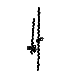 CCCCCCCCCCCCCCCC(=O)NC(CC)[N+](C)(C)C.CCCCCCCCCCCCCCCCCCOCCCCCCCCCCCCCCCC.[Cl-]